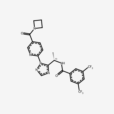 C[C@H](NC(=O)c1cc(C(F)(F)F)cc(C(F)(F)F)c1)c1ncnn1-c1ccc(C(=O)N2CCC2)cn1